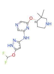 CC1(C)CNCC[C@@H]1Oc1cncc(Nc2cc(OC(F)F)[nH]n2)n1